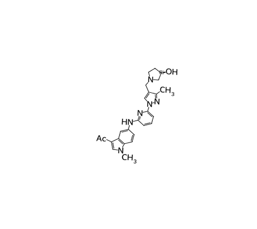 CC(=O)c1cn(C)c2ccc(Nc3cccc(-n4cc(CN5CC[C@@H](O)C5)c(C)n4)n3)cc12